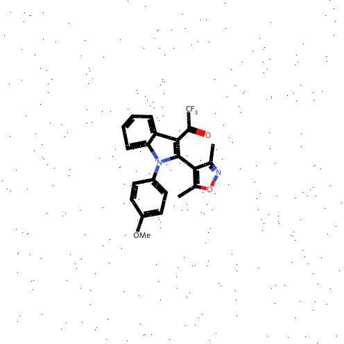 COc1ccc(-n2c(-c3c(C)noc3C)c(C(=O)C(F)(F)F)c3ccccc32)cc1